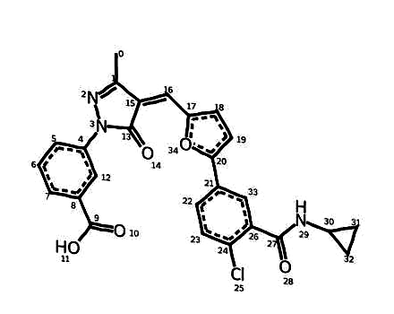 CC1=NN(c2cccc(C(=O)O)c2)C(=O)C1=Cc1ccc(-c2ccc(Cl)c(C(=O)NC3CC3)c2)o1